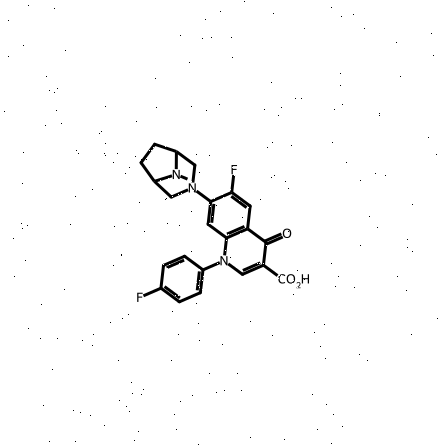 CN1C2CCC1CN(c1cc3c(cc1F)c(=O)c(C(=O)O)cn3-c1ccc(F)cc1)C2